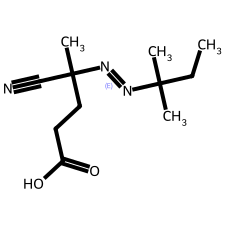 CCC(C)(C)/N=N/C(C)(C#N)CCC(=O)O